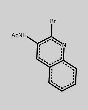 CC(=O)Nc1cc2ccccc2nc1Br